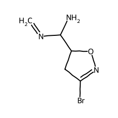 C=NC(N)C1CC(Br)=NO1